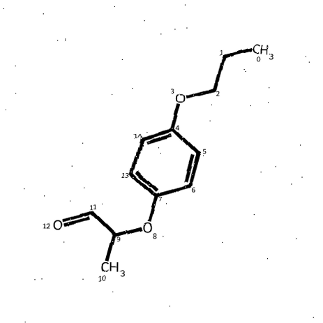 CCCOc1ccc(OC(C)C=O)cc1